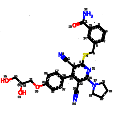 N#Cc1c(SCc2cccc(C(N)=O)c2)nc(N2CCCC2)c(C#N)c1-c1ccc(OC[C@H](O)CO)cc1